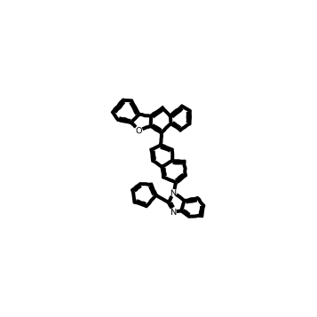 c1ccc(-c2nc3ccccc3n2-c2ccc3cc(-c4c5ccccc5cc5c4oc4ccccc45)ccc3c2)cc1